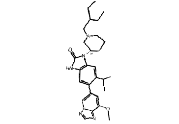 CCC(CC)CN1CCC[C@H](n2c(=O)[nH]c3cc(-c4cc(OC)c5ncnn5c4)c(C(C)C)cc32)C1